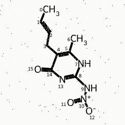 CC=CCc1c(C)[nH]c(N[N+](=O)[O-])nc1=O